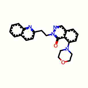 O=c1c2c(N3CCOCC3)cccc2cnn1CCc1ccc2ccccc2n1